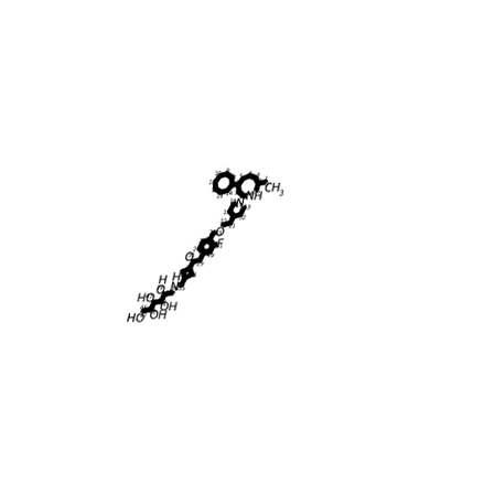 CCC1CCCC(C2CCCCCCC2)CC(N2CCC(CCOCc3ccc(CC(=O)C4CC(CNC[C@H](O)[C@@H](O)[C@H](O)[C@H](O)CO)C4)cc3F)CC2)NC1